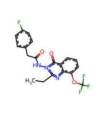 CCc1nc2c(OC(F)(F)F)cccc2c(=O)n1NC(=O)Cc1ccc(F)cc1